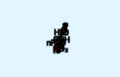 CCCN1C(=O)[C@H](CCCCNC(=O)OCc2ccccc2)NC(=O)C12CCN(C(=O)c1snnc1C)CC2